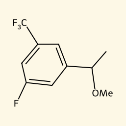 COC(C)c1cc(F)cc(C(F)(F)F)c1